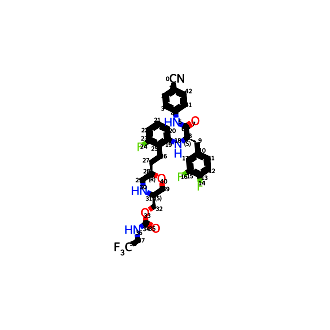 N#Cc1ccc(NC(=O)[C@H](Cc2ccc(F)c(F)c2)Nc2cccc(F)c2CC[C@@H]2CN[C@H](COC(=O)NCC(F)(F)F)CO2)cc1